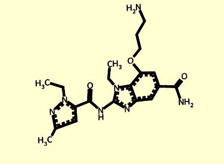 CCn1nc(C)cc1C(=O)Nc1nc2cc(C(N)=O)cc(OCCCN)c2n1CC